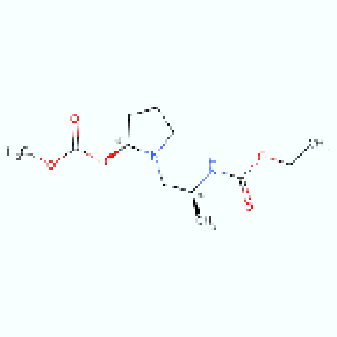 CCOC(=O)N[C@@H](C)CN1CCC[C@@H]1OC(=O)OC